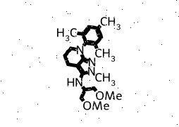 COCC(COC)Nc1c2c(nn1C)N(c1c(C)cc(C)cc1C)CCC2